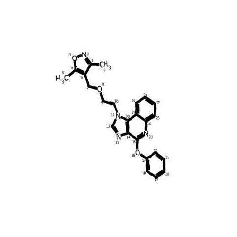 Cc1noc(C)c1COCCn1cnc2c(Oc3ccccc3)nc3ccccc3c21